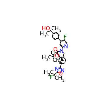 CC(C)(O)c1ccc(-c2cc(N(CC34CCC(c5noc(C(C)(C)F)n5)(CC3)CC4)C(=O)OC(C)(C)C(F)(F)F)ncc2F)cc1